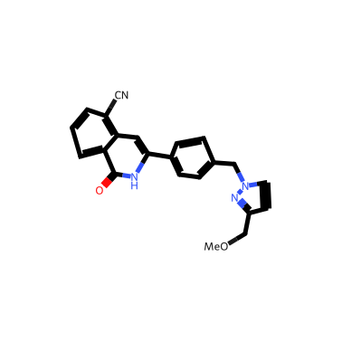 COCc1c#cn(Cc2ccc(-c3cc4c(C#N)cccc4c(=O)[nH]3)cc2)n1